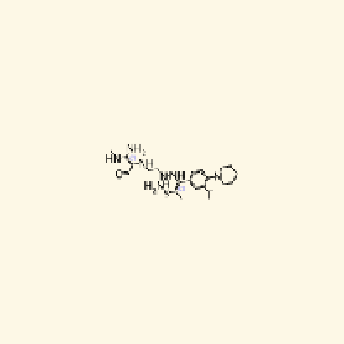 CN/C(N)=C(\C=O)NCCN(N)N/C(=C(/C)S)c1ccc(N2CCCCC2)c(F)c1